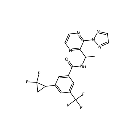 CC(NC(=O)c1cc(C2CC2(F)F)cc(C(F)(F)F)c1)c1nccnc1-n1nccn1